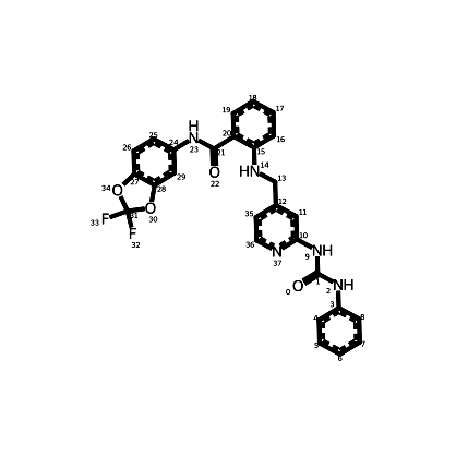 O=C(Nc1ccccc1)Nc1cc(CNc2ccccc2C(=O)Nc2ccc3c(c2)OC(F)(F)O3)ccn1